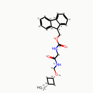 O=C(CNC(=O)OCC1c2ccccc2-c2ccccc21)NCO[C@H]1C[C@@H](C(=O)O)C1